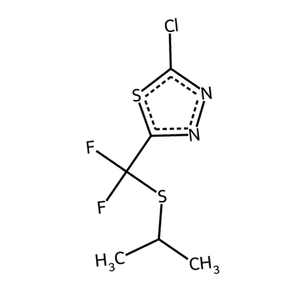 CC(C)SC(F)(F)c1nnc(Cl)s1